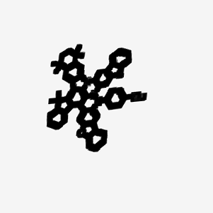 CC(C)(C)c1ccc(N2B3c4cc5sc6ccccc6c5cc4-n4c5cc6c(cc5c5c7c(c(c3c54)-c3cc4oc5ccccc5c4cc32)-c2ccccc2C7(C)C)C(C)(C)CCC6(C)C)cc1